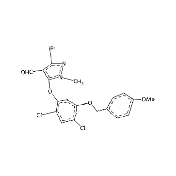 COc1ccc(COc2cc(Oc3c(C=O)c(C(C)C)nn3C)c(Cl)cc2Cl)cc1